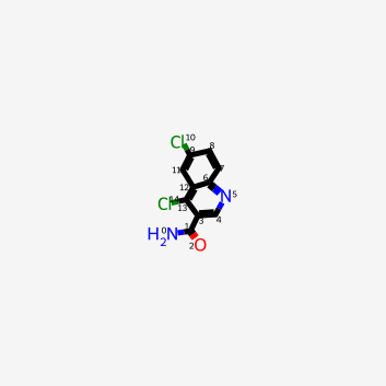 NC(=O)c1cnc2ccc(Cl)cc2c1Cl